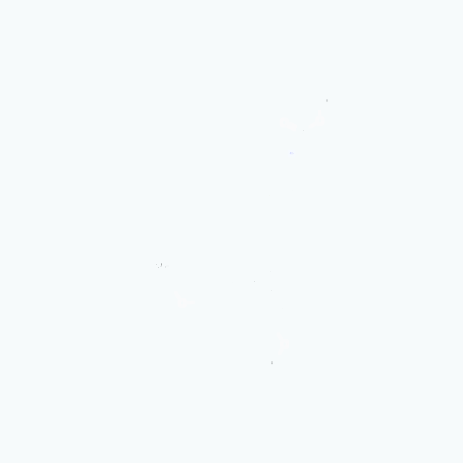 CCC(CC(C)(C)OCC(C)(C)OC)C1=C(CCOC(C)(C)C)C1c1ccc2cc(/C=C(\C)C(=O)OC(C)(C)C)sc2c1